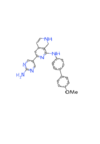 COc1ccc(-c2ccc(Nc3nc(-c4cnc(N)nc4)cc4c3CNC=C4)cc2)cc1